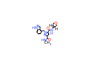 CNC(=O)c1cc(C(=O)NC2[C@H]3COC[C@@H]23)n(Cc2cccc3[nH]ncc23)n1